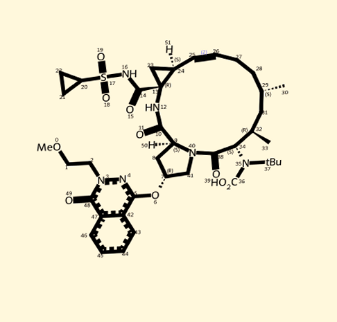 COCCn1nc(O[C@@H]2C[C@H]3C(=O)N[C@]4(C(=O)NS(=O)(=O)C5CC5)C[C@H]4/C=C\CC[C@H](C)C[C@@H](C)[C@H](N(C(=O)O)C(C)(C)C)C(=O)N3C2)c2ccccc2c1=O